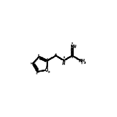 N=C(N)NCc1ccco1